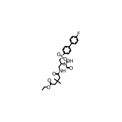 CCOC(=O)CC(C)(C)CC(=O)NCC(CS(=O)(=O)c1ccc(-c2ccc(F)cc2)cc1)N(O)C=O